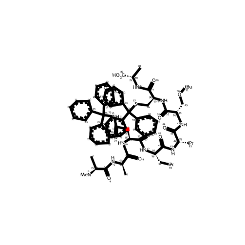 CN[C@@H](C)C(=O)N[C@H](C)C(=O)N[C@@H](CC(=O)NC(c1ccccc1)(c1ccccc1)c1ccccc1)C(=O)N[C@@H](CC(C)C)C(=O)N[C@H](C(=O)N[C@@H](COC(C)(C)C)C(=O)N[C@@H](CSC(c1ccccc1)(c1ccccc1)c1ccccc1)C(=O)N[C@@H](C)C(=O)O)C(C)C